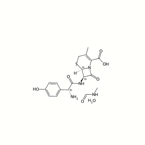 CC1=C(C(=O)O)N2C(=O)[C@@H](NC(=O)[C@H](N)c3ccc(O)cc3)[C@H]2SC1.CNC=O.O